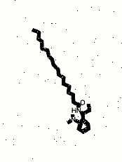 CCCCCCCCCCCCCCCCCC(=O)NC(CC)c1ccccc1N(C)C